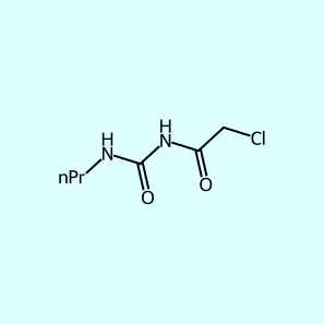 CCCNC(=O)NC(=O)CCl